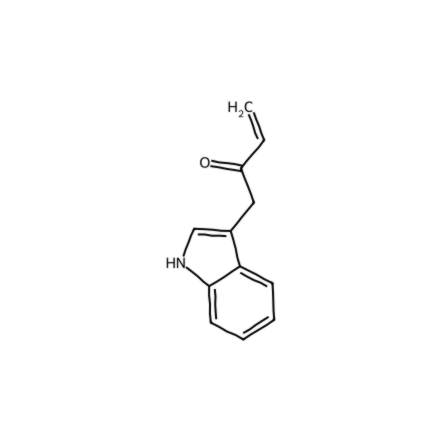 C=CC(=O)Cc1c[nH]c2ccccc12